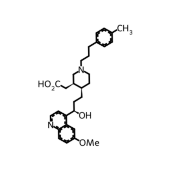 COc1ccc2nccc([C@H](O)CC[C@@H]3CCN(CCCc4ccc(C)cc4)C[C@@H]3CC(=O)O)c2c1